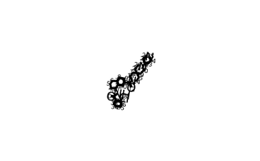 O=C(N[C@@H]1CCCc2ccc(C(=O)N3CCC4(CC3)CCN(c3ccncc3)CC4)cc21)c1ccccc1Cl